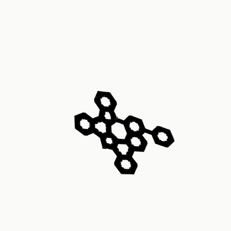 c1ccc(-c2ccc(-n3c4ccccc4c4c5ccccc5c5sc6c7ccccc7c7ccccc7c6c5c43)cc2)cc1